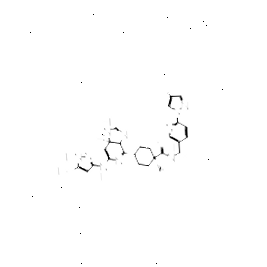 CO[C@]1(C(=O)N[C@@H](C)c2ccc(-n3cc(F)cn3)nc2)CC[C@H](C2=NC(Nc3cc(C)[nH]n3)=C[C@@H]3NC=NC23)CC1